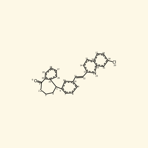 O=C1SCCC(c2cccc(/C=C/c3ccc4ccc(Cl)cc4n3)c2)c2ccccc21